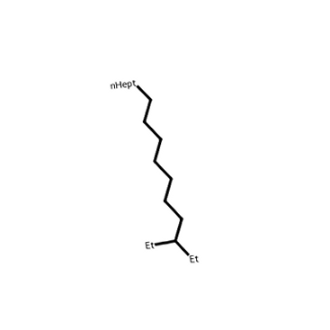 [CH2]CCCCCCCCCCCCCC(C[CH2])CC